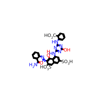 NC(=O)c1ccccc1N=Nc1c(S(=O)(=O)O)cc2cc(S(=O)(=O)O)cc(Nc3nc(O)nc(Nc4ccccc4C(=O)O)n3)c2c1O